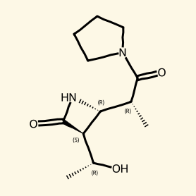 C[C@@H](O)[C@H]1C(=O)N[C@@H]1[C@@H](C)C(=O)N1CCCC1